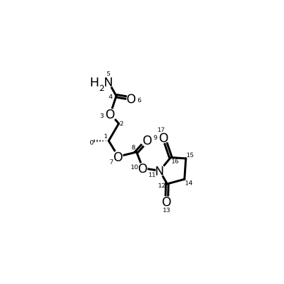 C[C@H](COC(N)=O)OC(=O)ON1C(=O)CCC1=O